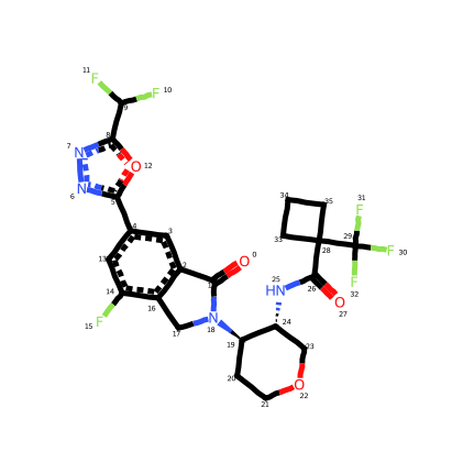 O=C1c2cc(-c3nnc(C(F)F)o3)cc(F)c2CN1[C@@H]1CCOC[C@H]1NC(=O)C1(C(F)(F)F)CCC1